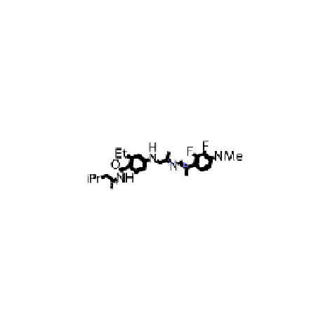 CCc1cc(NC/C(C)=N/C=C(\C)c2ccc(NC)c(F)c2F)ccc1C(=O)N[C@@H](C)CC(C)C